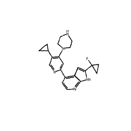 FC1(c2cc3c(-c4cc(N5CCNCC5)c(C5CC5)cn4)ccnc3[nH]2)CC1